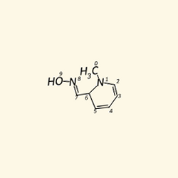 CN1C=CC=CC1C=NO